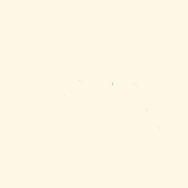 Nc1nc(C(=NO)C(=O)NC2C(=O)N3CC(SCC4COCO4)(C(=O)O)CS[C@H]23)cs1